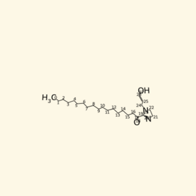 CCCCCCCCCCCCCCCCCC(=O)C1=NCCN1CC=CO